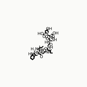 CC[C@H](C)[C@H](N)C(=O)N[C@@H](Cc1c[nH]c2ccccc12)C(=O)NCC(=O)N[C@H](C(=O)NCC(=O)N[C@@H](CS)C(=O)N[C@@H](CC(=O)O)C(=O)N1C[C@H](O)C[C@H]1C(=O)O)[C@@H](C)CC